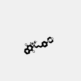 O=C1c2ccccc2C(=O)c2c1n[n+]([O-])n2CCCc1ccc(N2CCOCC2)cc1